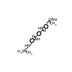 CON(C)Cc1ccc2nc(-c3ccc(-c4nc5ccc(CNCCN(C)C)cc5[nH]4)cc3)[nH]c2c1